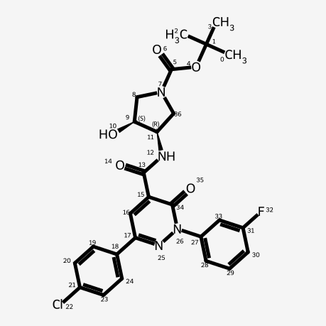 CC(C)(C)OC(=O)N1C[C@H](O)[C@H](NC(=O)c2cc(-c3ccc(Cl)cc3)nn(-c3cccc(F)c3)c2=O)C1